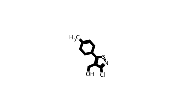 CC1=CCC(c2snc(Cl)c2CO)CC1